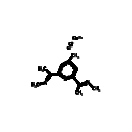 CN=C(C)c1cc(C)cc(C(C)=NC)n1.[Cl-].[Cl-].[Co+2]